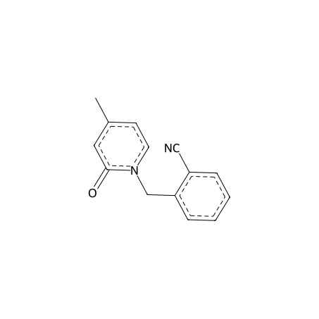 Cc1ccn(Cc2ccccc2C#N)c(=O)c1